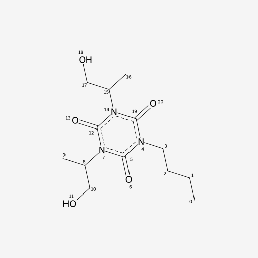 CCCCn1c(=O)n(C(C)CO)c(=O)n(C(C)CO)c1=O